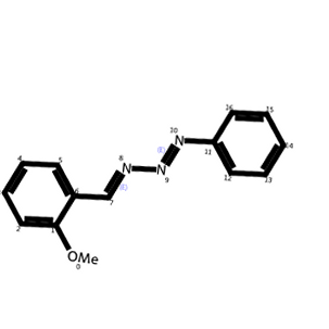 COc1ccccc1/C=N/N=N/c1ccccc1